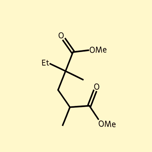 CCC(C)(CC(C)C(=O)OC)C(=O)OC